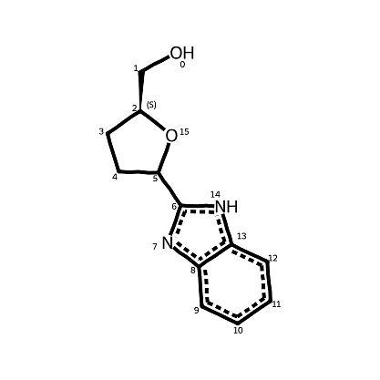 OC[C@@H]1CCC(c2nc3ccccc3[nH]2)O1